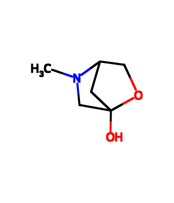 CN1CC2(O)CC1CO2